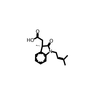 CC(C)=CCN1C(=O)[C@](C)(CC(=O)O)c2ccccc21